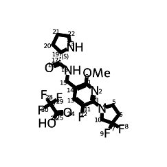 COc1nc(N2CCC(F)(F)C2)c(F)cc1CNC(=O)[C@@H]1CCCN1.O=C(O)C(F)(F)F